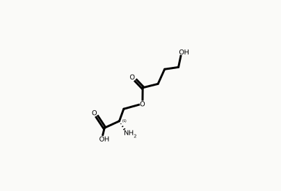 N[C@@H](COC(=O)CCCO)C(=O)O